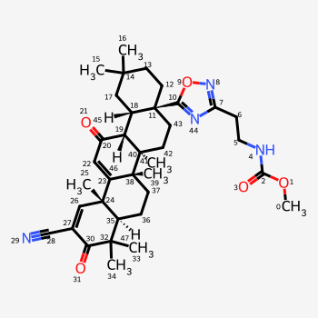 COC(=O)NCCc1noc([C@]23CCC(C)(C)C[C@H]2[C@H]2C(=O)C=C4[C@@]5(C)C=C(C#N)C(=O)C(C)(C)[C@@H]5CC[C@@]4(C)[C@]2(C)CC3)n1